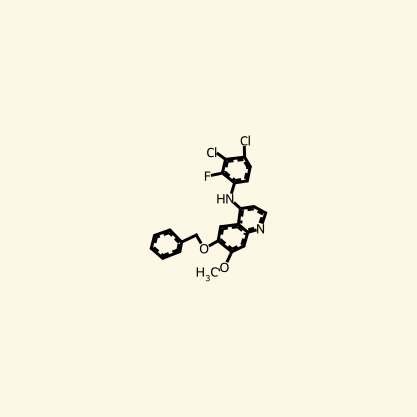 COc1cc2nccc(Nc3ccc(Cl)c(Cl)c3F)c2cc1OCc1ccccc1